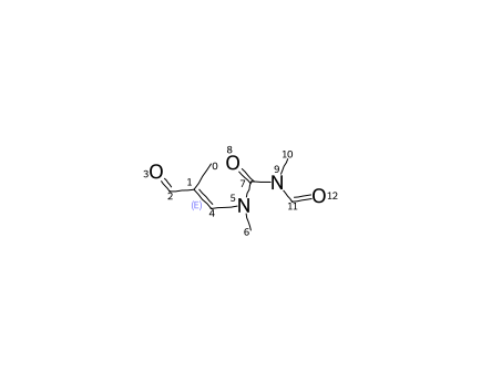 C/C(C=O)=C\N(C)C(=O)N(C)C=O